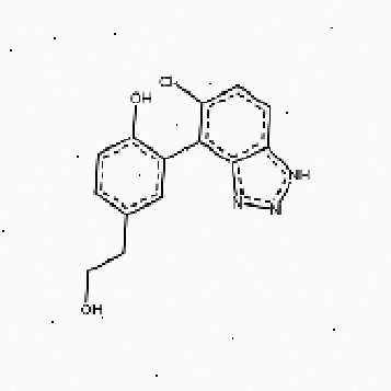 OCCc1ccc(O)c(-c2c(Cl)ccc3[nH]nnc23)c1